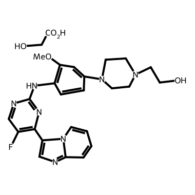 COc1cc(N2CCN(CCO)CC2)ccc1Nc1ncc(F)c(-c2cnc3ccccn23)n1.O=C(O)CO